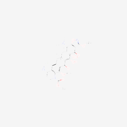 CCCCOc1noc2c1C(=O)[C@@]1(O)C(O)=C3C(=O)c4c(c(F)c5c(c4OCCCC)N(C(=O)OC(C)(C)C)CCC5N(C)C)C[C@H]3C[C@H]1[C@@H]2N(C)CC